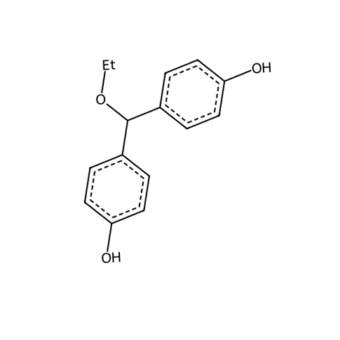 CCOC(c1ccc(O)cc1)c1ccc(O)cc1